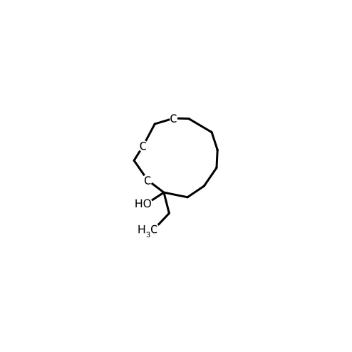 CCC1(O)CCCCCCCCCCC1